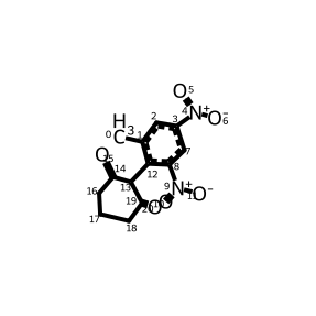 Cc1cc([N+](=O)[O-])cc([N+](=O)[O-])c1C1C(=O)CCCC1=O